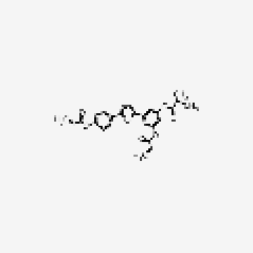 C=CC(=O)Oc1ccc(-c2ccc(-c3cc(OC(=O)C=C)cc(OC(=O)C(=C)C)c3)o2)cc1